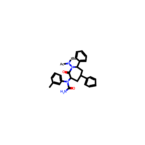 CC(=O)N(N1C(=O)C(N(C(N)=O)c2cccc(C)c2)CC(c2ccccc2)CC1c1ccccc1)C(C)(C)C